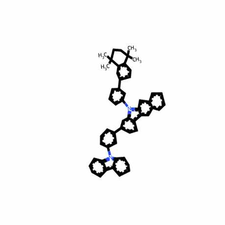 CC1(C)CCC(C)(C)c2cc(-c3cccc(-n4c5cc(-c6cccc(-n7c8ccccc8c8ccccc87)c6)ccc5c5cc6ccccc6cc54)c3)ccc21